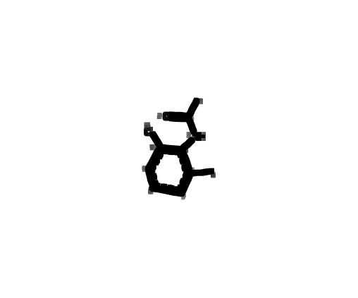 CC(=O)Nc1c(C)c[c]cc1Cl